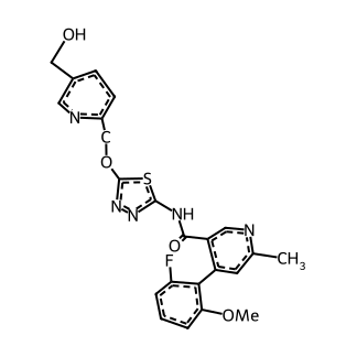 COc1cccc(F)c1-c1cc(C)ncc1C(=O)Nc1nnc(OCc2ccc(CO)cn2)s1